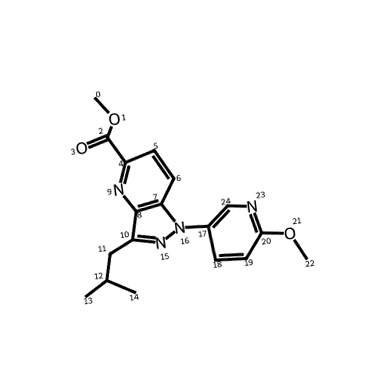 COC(=O)c1ccc2c(n1)c(CC(C)C)nn2-c1ccc(OC)nc1